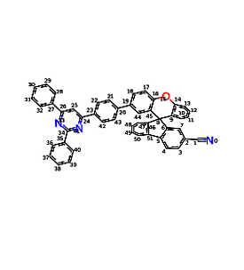 N#Cc1ccc2c(c1)C1(c3ccccc3Oc3ccc(-c4ccc(-c5cc(-c6ccccc6)nc(-c6ccccc6)n5)cc4)cc31)c1ccccc1-2